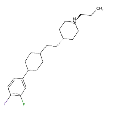 CCC[Si@H]1CC[C@H](CCC2CCC(c3ccc(I)c(F)c3)CC2)CC1